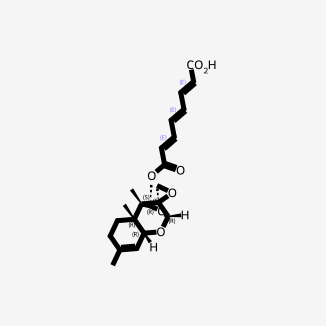 CC1=C[C@H]2O[C@@H]3C[C@@H](OC(=O)/C=C/C=C/C=C/C(=O)O)[C@](C)([C@@]2(C)CC1)[C@]31CO1